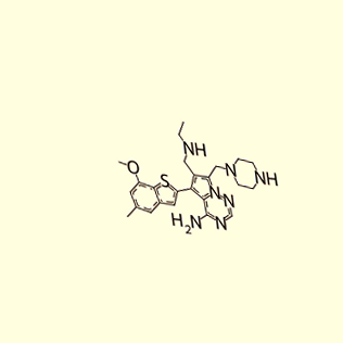 CCNCc1c(-c2cc3cc(C)cc(OC)c3s2)c2c(N)ncnn2c1CN1CCNCC1